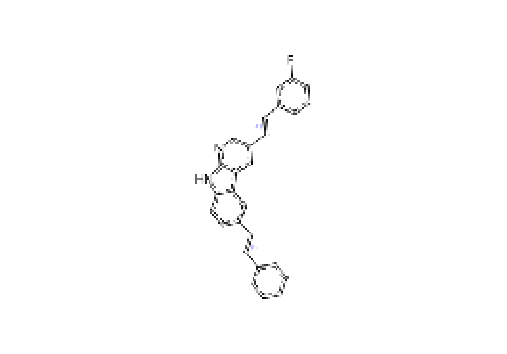 Fc1cccc(/C=C/c2cnc3[nH]c4ccc(/C=C/c5ccccc5)cc4c3c2)c1